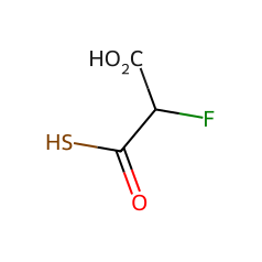 O=C(O)C(F)C(=O)S